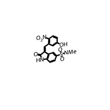 CNS(=O)(=O)c1ccc2c(c1)C(=Cc1cc(O)ccc1[N+](=O)[O-])C(=O)N2